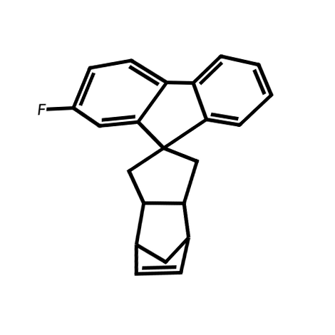 Fc1ccc2c(c1)C1(CC3C4C=CC(C4)C3C1)c1ccccc1-2